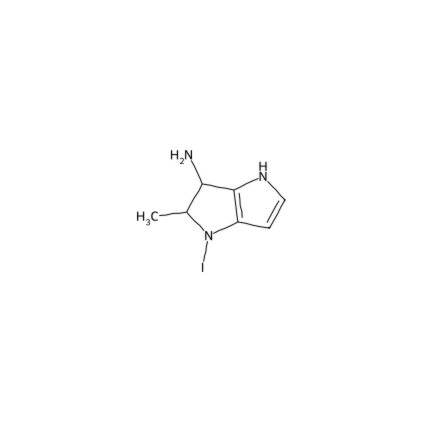 CC1C(N)c2[nH]ccc2N1I